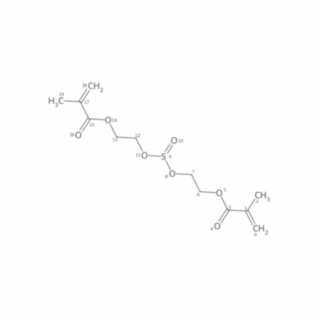 C=C(C)C(=O)OCCOS(=O)OCCOC(=O)C(=C)C